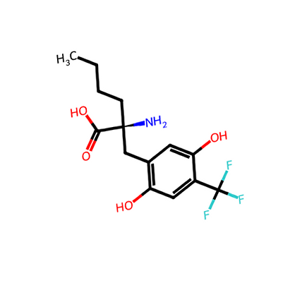 CCCC[C@](N)(Cc1cc(O)c(C(F)(F)F)cc1O)C(=O)O